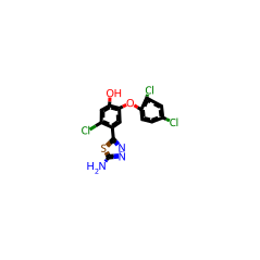 Nc1nnc(-c2cc(Oc3ccc(Cl)cc3Cl)c(O)cc2Cl)s1